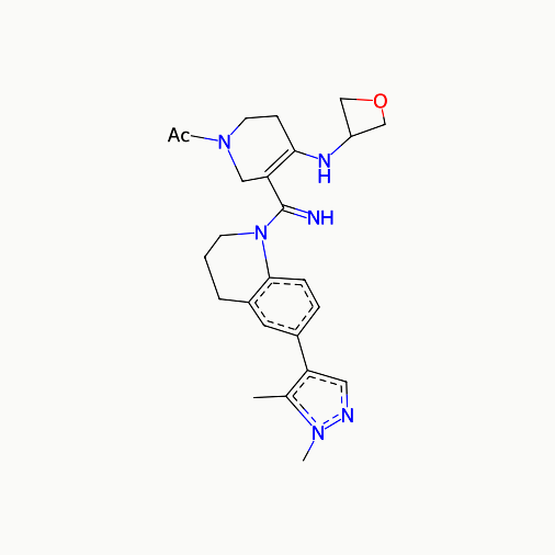 CC(=O)N1CCC(NC2COC2)=C(C(=N)N2CCCc3cc(-c4cnn(C)c4C)ccc32)C1